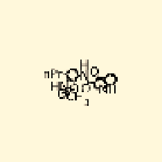 CCCc1ccc(NC(=O)c2c[nH]c3ccccc3c2=O)cc1NS(C)(=O)=O